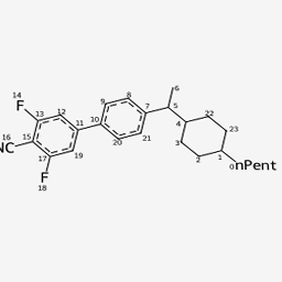 CCCCCC1CCC(C(C)c2ccc(-c3cc(F)c(C#N)c(F)c3)cc2)CC1